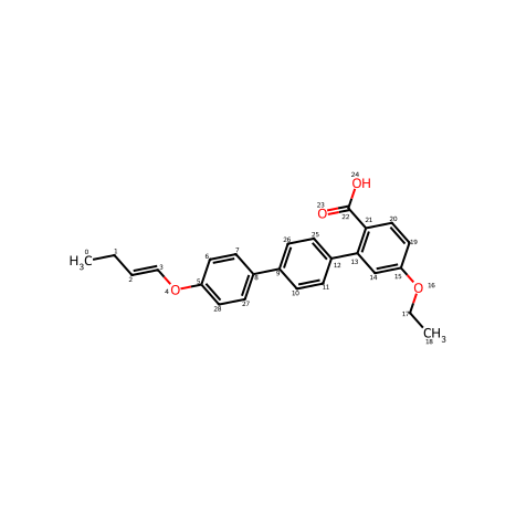 CC/C=C/Oc1ccc(-c2ccc(-c3cc(OCC)ccc3C(=O)O)cc2)cc1